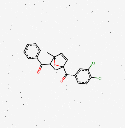 CC12C=CC(C(=O)c3ccc(Cl)c(Cl)c3)(CC1C(=O)c1ccccc1)O2